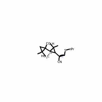 CCCS/C=C(/C#N)C1C(C)(C)[C@]1(C(=O)O)C1(C(=O)O)CC1(C)C